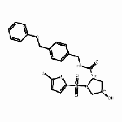 O=C(NCc1ccc(COc2ccccc2)cc1)[C@@H]1C[C@@H](O)CN1S(=O)(=O)c1ccc(Cl)s1